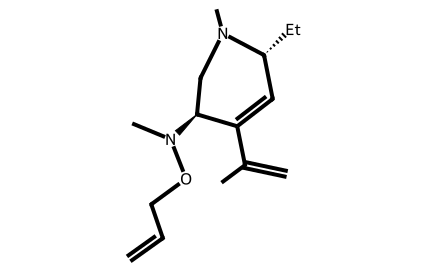 C=CCON(C)[C@H]1CN(C)[C@H](CC)C=C1C(=C)C